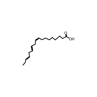 CCC=CCC=CC/C=C\CCCCCCCC(=O)O